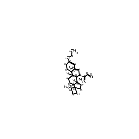 CCOC1=CC2=C[C@@H](C(=S)C=O)[C@@H]3[C@H](CC[C@@]4(C)[C@H]3CCC43CCC3)[C@@]2(C)CC1